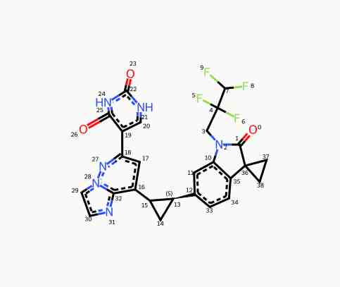 O=C1N(CC(F)(F)C(F)F)c2cc([C@H]3CC3c3cc(-c4c[nH]c(=O)[nH]c4=O)nn4ccnc34)ccc2C12CC2